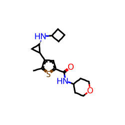 Cc1sc(C(=O)NC2CCOCC2)cc1C1C[C@@H]1NC1CCC1